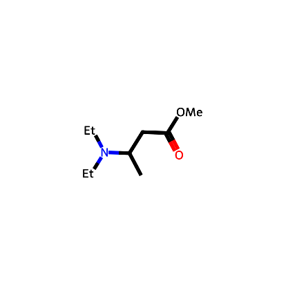 CCN(CC)C(C)CC(=O)OC